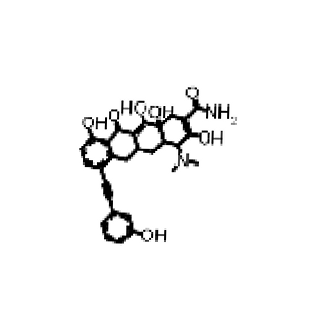 CN(C)C1C(O)=C(C(N)=O)CC2(O)C(O)=C3C(=O)c4c(O)ccc(C#Cc5cccc(O)c5)c4CC3CC12